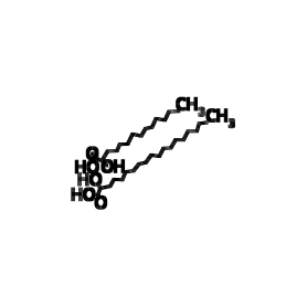 CCCCCCCCCCCCCC(O)C(=O)O.CCCCCCCCCCCCCCCCCCC(O)C(=O)O